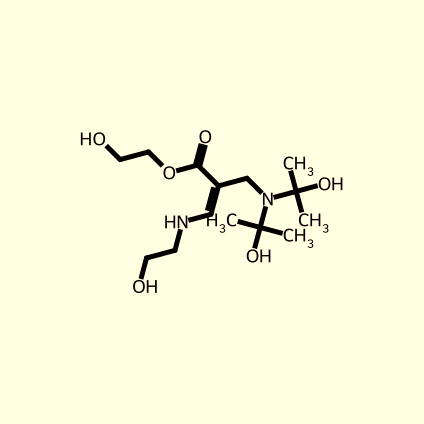 CC(C)(O)N(CC(=CNCCO)C(=O)OCCO)C(C)(C)O